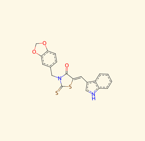 O=C1/C(=C/c2c[nH]c3ccccc23)SC(=S)N1Cc1ccc2c(c1)OCO2